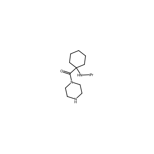 CC(C)NC1(C(=O)N2CCNCC2)CCCCC1